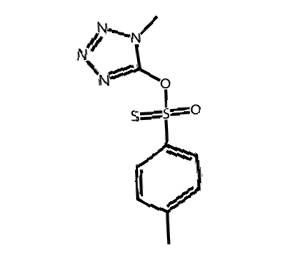 Cc1ccc(S(=O)(=S)Oc2nnnn2C)cc1